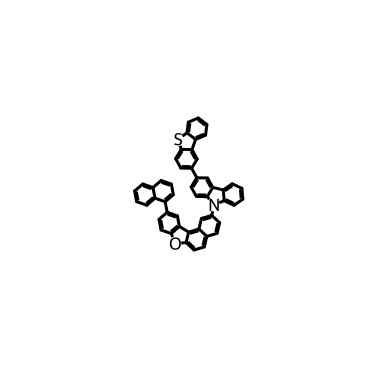 c1ccc2c(-c3ccc4oc5ccc6ccc(-n7c8ccccc8c8cc(-c9ccc%10sc%11ccccc%11c%10c9)ccc87)cc6c5c4c3)cccc2c1